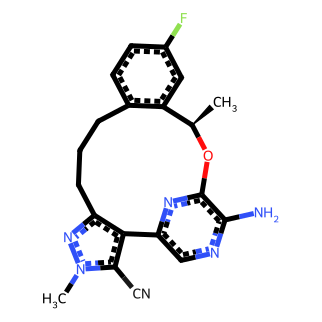 C[C@H]1Oc2nc(cnc2N)-c2c(nn(C)c2C#N)CCCc2ccc(F)cc21